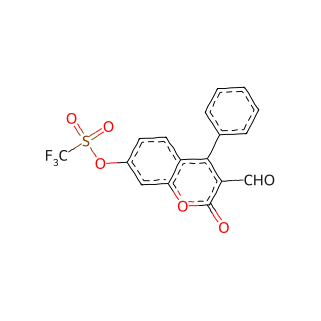 O=Cc1c(-c2ccccc2)c2ccc(OS(=O)(=O)C(F)(F)F)cc2oc1=O